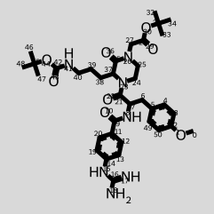 COc1ccc(CC(NC(=O)c2ccc(NC(=N)N)cc2)C(=O)N2CCN(CC(=O)OC(C)(C)C)C(=O)C2CCCNC(=O)OC(C)(C)C)cc1